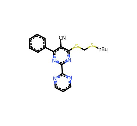 CCCCSCSc1nc(-c2ncccn2)nc(-c2ccccc2)c1C#N